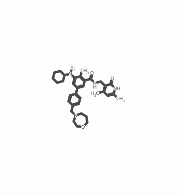 CCN(c1cc(-c2ccc(CN3CCCOCC3)cc2)cc(C(=O)NCc2c(C)cc(C)[nH]c2=O)c1C)C1CCCCC1